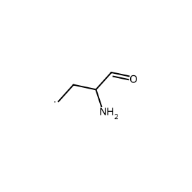 [CH2]CC(N)C=O